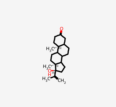 C=C(C)[C@@]1(O)CCC2C3CCC4CC(=O)CC[C@]4(C)C3CC[C@@]21C